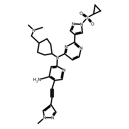 CN(C)CC1CCC(N(c2cc(N)c(C#Cc3cnn(C)c3)cn2)c2ccnc(-c3cnn(S(=O)(=O)C4CC4)c3)n2)CC1